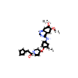 COc1cc2ncnc(Nc3ccc(OC4CCN(C(=O)CC5CCCC5)CC4)c(C)c3)c2cc1OC